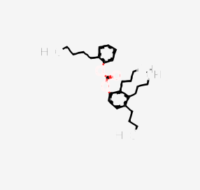 CCCCCc1ccccc1OC(=O)Oc1ccc(CCCC)c(CCCC)c1CCCC